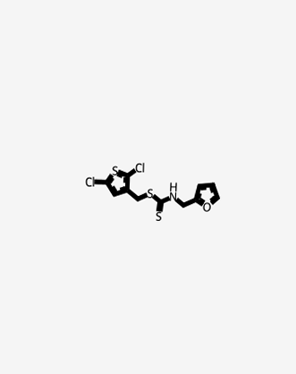 S=C(NCc1ccco1)SCc1cc(Cl)sc1Cl